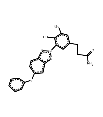 CC(C)(C)c1cc(CCC(N)=O)cc(-n2nc3ccc(Sc4ccccc4)cc3n2)c1O